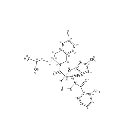 CCC[C@H]1N(C(=O)c2ncccc2C(F)(F)F)CCC[C@@]1(Oc1csc(C(F)(F)F)c1)C(=O)N1Cc2ccc(F)cc2C[C@H]1CCC(C)O